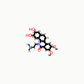 COc1cc2c(=O)n(CCN(C)C)c3c4cc(O)c(O)cc4ccc3c2cc1OC